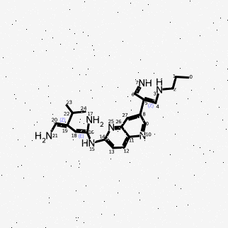 CCCN/C=C(\C=N)c1cnc2ccc(N/C(N)=C/C(=C\N)C(C)C)nc2c1